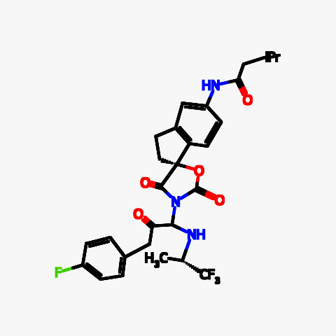 CC(C)CC(=O)Nc1ccc2c(c1)CC[C@@]21OC(=O)N(C(N[C@@H](C)C(F)(F)F)C(=O)Cc2ccc(F)cc2)C1=O